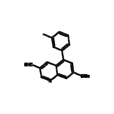 COc1cc(-c2cccc(C)c2)c2cc(C=O)cnc2c1